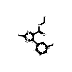 CCOC(=O)c1nc(C)oc1-c1cccc(C)c1